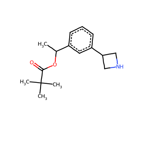 CC(OC(=O)C(C)(C)C)c1cccc(C2CNC2)c1